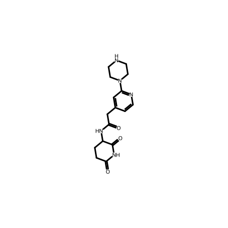 O=C1CCC(NC(=O)Cc2ccnc(N3CCNCC3)c2)C(=O)N1